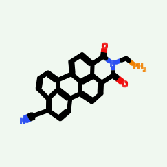 N#Cc1ccc2c3ccc4c5c(ccc(c6cccc1c62)c53)C(=O)N(CP)C4=O